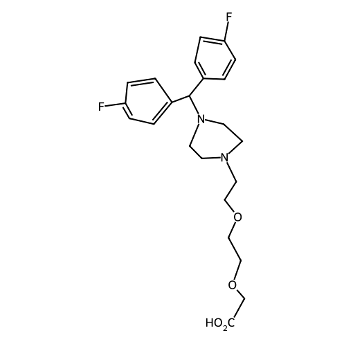 O=C(O)COCCOCCN1CCN(C(c2ccc(F)cc2)c2ccc(F)cc2)CC1